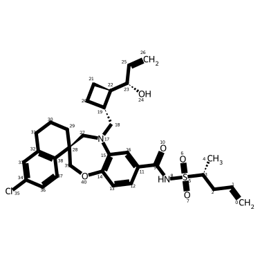 C=CC[C@@H](C)S(=O)(=O)NC(=O)c1ccc2c(c1)N(C[C@@H]1CC[C@H]1[C@@H](O)C=C)C[C@@]1(CCCc3cc(Cl)ccc31)CO2